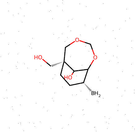 B[C@@H]1CC[C@@]2(CO)COCOC1C2O